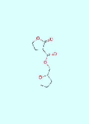 O=C1OCCC1C(=O)OCC1CCCO1